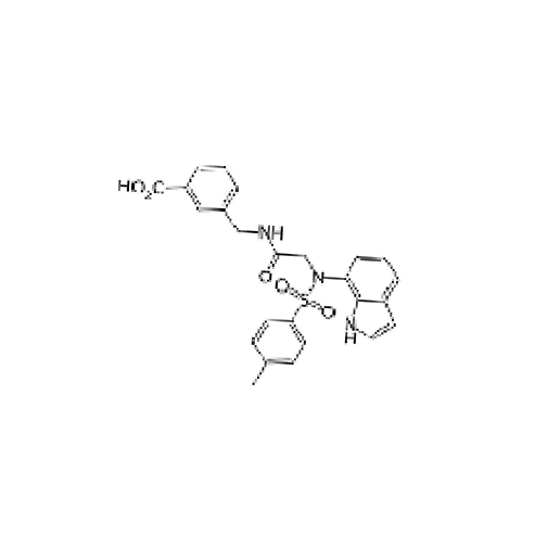 Cc1ccc(S(=O)(=O)N(CC(=O)NCc2cccc(C(=O)O)c2)c2cccc3cc[nH]c23)cc1